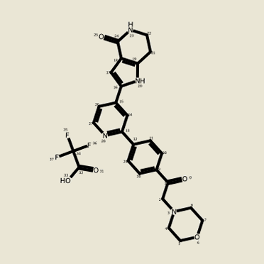 O=C(CN1CCOCC1)c1ccc(-c2cc(-c3cc4c([nH]3)CCNC4=O)ccn2)cc1.O=C(O)C(F)(F)F